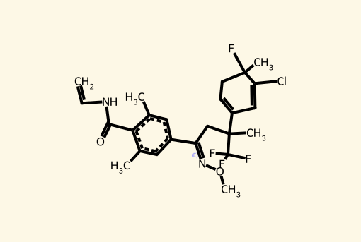 C=CNC(=O)c1c(C)cc(/C(CC(C)(C2=CCC(C)(F)C(Cl)=C2)C(F)(F)F)=N/OC)cc1C